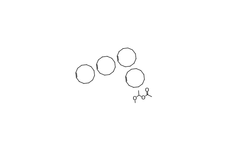 C1=CCCCCCCCCCC1.C1=CCCCCCCCCCC1.C1=CCCCCCCCCCC1.C1=CCCCCCCCCCC1.COC(C)OC(C)=O